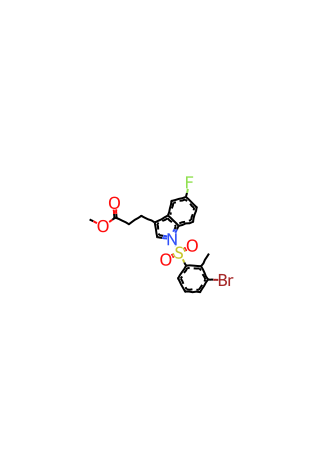 COC(=O)CCc1cn(S(=O)(=O)c2cccc(Br)c2C)c2ccc(F)cc12